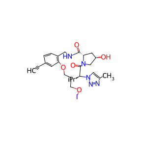 C#Cc1ccc(CNC(=O)[C@@H]2C[C@@H](O)CN2C(=O)[C@H](C(C)C)n2cc(C)nn2)c(OCCCOI)c1